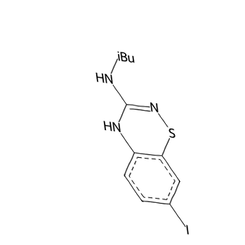 CCC(C)NC1=NSc2cc(I)ccc2N1